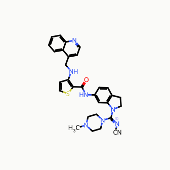 CN1CCN(/C(=N\C#N)N2CCc3ccc(NC(=O)c4sccc4NCc4ccnc5ccccc45)cc32)CC1